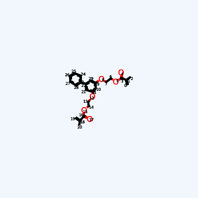 C=C(C)C(=O)OCCOc1cc(OCCOC(=O)C(=C)C)cc(-c2ccccc2)c1